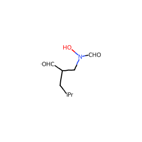 CC(C)CC([C]=O)CN(O)C=O